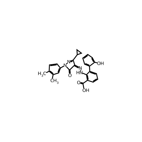 Cc1ccc(N2N=C(C3CC3)C(=NNc3c(C(=O)O)cccc3-c3ccccc3O)C2=O)cc1C